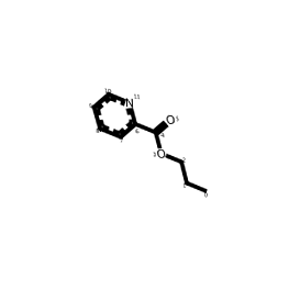 CCCOC(=O)c1c[c]ccn1